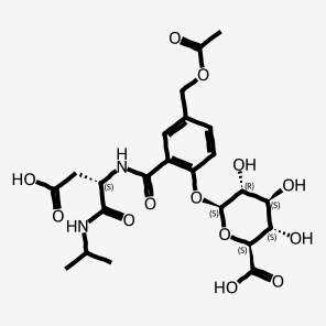 CC(=O)OCc1ccc(O[C@@H]2O[C@H](C(=O)O)[C@@H](O)[C@H](O)[C@H]2O)c(C(=O)N[C@@H](CC(=O)O)C(=O)NC(C)C)c1